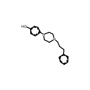 Oc1ccc(N2CCN(CCCc3ccccc3)CC2)cc1